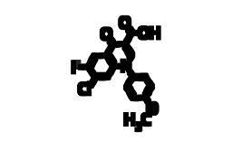 COc1ccc(-n2cc(C(=O)O)c(=O)c3cc(F)c(Cl)cc32)cc1